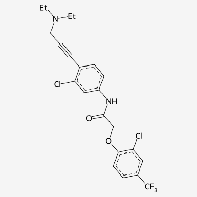 CCN(CC)CC#Cc1ccc(NC(=O)COc2ccc(C(F)(F)F)cc2Cl)cc1Cl